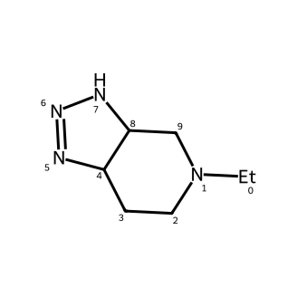 CCN1CCC2N=NNC2C1